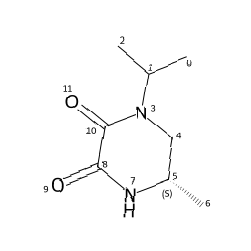 CC(C)N1C[C@H](C)NC(=O)C1=O